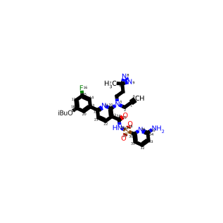 C#CCN(CCC1(C)N=N1)c1nc(-c2cc(F)cc(OCC(C)C)c2)ccc1C(=O)NS(=O)(=O)c1cccc(N)n1